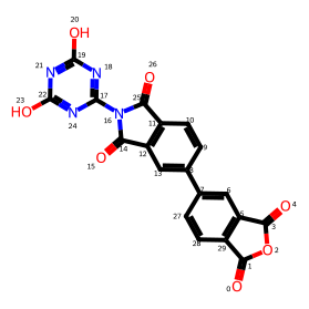 O=C1OC(=O)c2cc(-c3ccc4c(c3)C(=O)N(c3nc(O)nc(O)n3)C4=O)ccc21